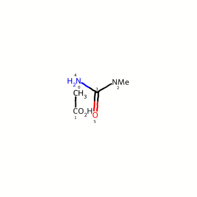 CC(=O)O.CNC(N)=O